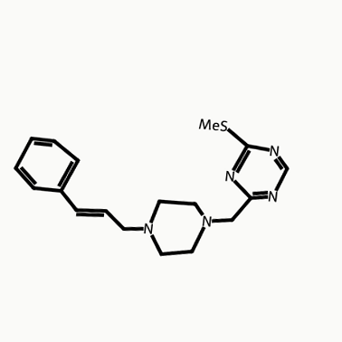 CSc1ncnc(CN2CCN(CC=Cc3ccccc3)CC2)n1